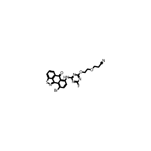 N#CCCOCCOc1nc(F)nc(Nc2ccc(Br)c3c2C(=O)c2cccc4snc-3c24)n1